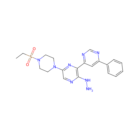 CCS(=O)(=O)N1CCN(c2cnc(NN)c(-c3cc(-c4ccccc4)ncn3)n2)CC1